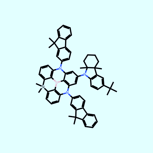 CC(C)(C)c1ccc2c(c1)C1(C)CCCCC1(C)N2c1cc2c3c(c1)N(c1ccc4c(c1)C(C)(C)c1ccccc1-4)c1cccc4c1B3c1c(cccc1[Si]4(C)C)N2c1ccc2c(c1)C(C)(C)c1ccccc1-2